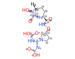 O=C(O)N=C(NC(=O)O)N1CC[C@H](ONC(=O)[C@@H]2CC[C@@H]3CN2C(=O)N3O)C1